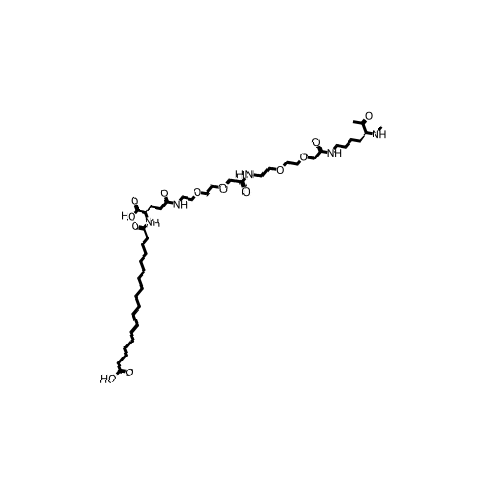 CN[C@@H](CCCCNC(=O)COCCOCCNC(=O)COCCOCCNC(=O)CC[C@@H](NC(=O)CCCCCCCCCCCCCCCCC(=O)O)C(=O)O)C(C)=O